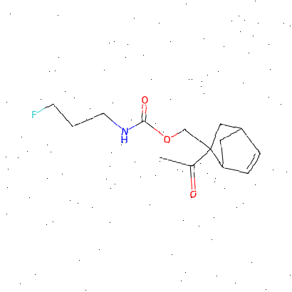 CC(=O)C1(COC(=O)NCCCF)CC2C=CC1C2